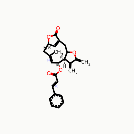 C=C1OC2CC3=C[C@@H](C/C(C)=C/[C@@H](OC(=O)/C=C/c4ccccc4)[C@@H]2C1=C)OC3=O